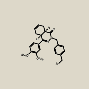 COc1ccc(C2=NN(Cc3ccc(CBr)cc3)C(=O)[C@H]3CC=CC[C@@H]23)cc1OC